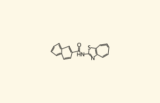 O=C(Nc1nc2c(s1)C=C=CC=C2)c1ccc2ccccc2c1